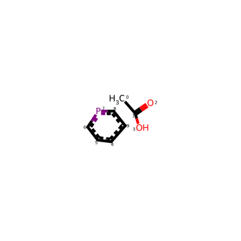 CC(=O)O.c1ccpcc1